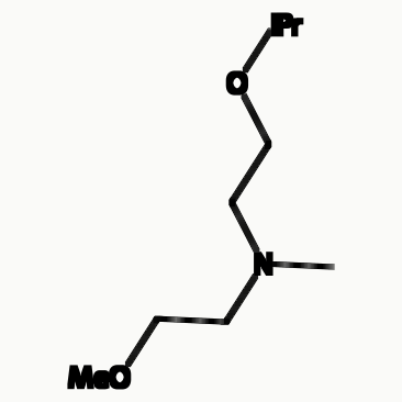 COCCN(C)CCOC(C)C